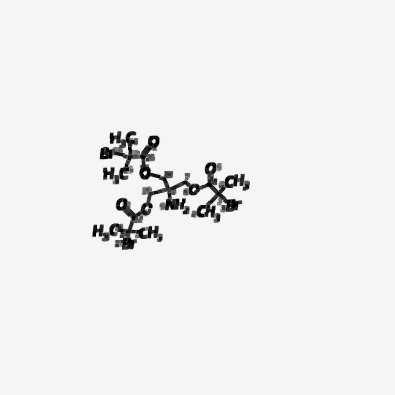 CC(C)(Br)C(=O)OCC(N)(COC(=O)C(C)(C)Br)COC(=O)C(C)(C)Br